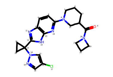 O=C(C1CCCN(c2ccc3nc(C4(n5cc(Cl)cn5)CC4)[nH]c3n2)C1)N1CCC1